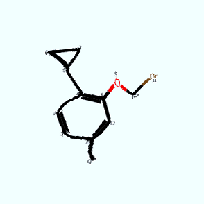 Cc1ccc(C2CC2)c(OCBr)c1